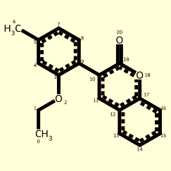 CCOc1cc(C)ccc1-c1cc2ccccc2oc1=O